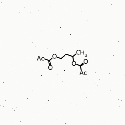 CC(=O)C(=O)OCCC(C)OC(=O)C(C)=O